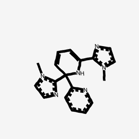 Cn1ccnc1C1=CC=CC(c2ccccn2)(c2nccn2C)N1